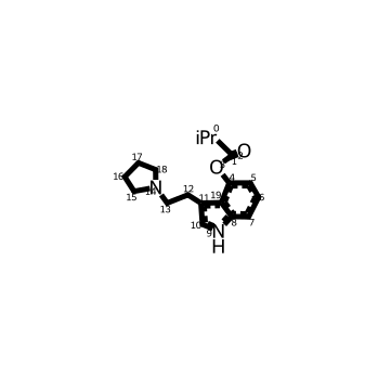 CC(C)C(=O)Oc1cccc2[nH]cc(CCN3CCCC3)c12